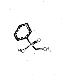 CCP(=O)(O)c1ccccc1